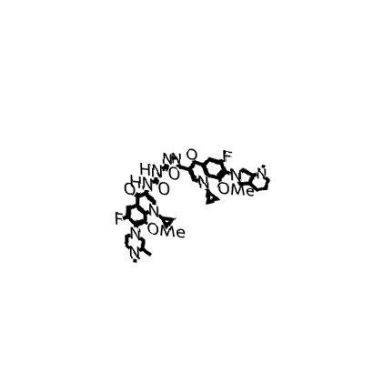 COc1c(N2CCN(C)C(C)C2)c(F)cc2c(=O)c(NC(=O)Nc3nnc(-c4cn(C5CC5)c5c(OC)c(N6CC7CCCN(C)C7C6)c(F)cc5c4=O)o3)cn(C3CC3)c12